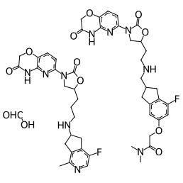 CN(C)C(=O)COc1cc(F)c2c(c1)CC(CNCCC1CN(c3ccc4c(n3)NC(=O)CO4)C(=O)O1)C2.Cc1ncc(F)c2c1CC(NCCCC1CN(c3ccc4c(n3)NC(=O)CO4)C(=O)O1)C2.O=CO